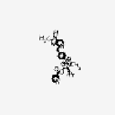 Cc1nc2c(Cc3ccc(S(=O)(=O)N(C)[C@H](COC(=O)c4cccnc4)CC(C)C)cc3)nccc2[nH]1